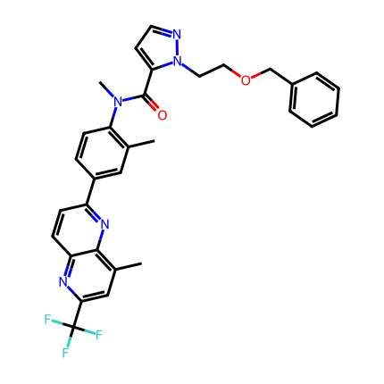 Cc1cc(-c2ccc3nc(C(F)(F)F)cc(C)c3n2)ccc1N(C)C(=O)c1ccnn1CCOCc1ccccc1